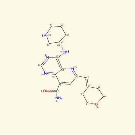 NC(=O)c1cc(C=C2CCOCC2)nc2c(N[C@H]3CCCNC3)ncnc12